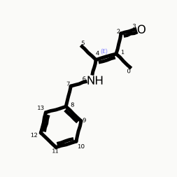 C/C(C=O)=C(/C)NCc1ccccc1